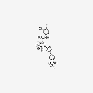 CN1[C@@H](C(O)Nc2ccc(F)c(Cl)c2)C[C@@H](c2ncc(-c3ccc(NS(C)(=O)=O)cc3)s2)NS1(=O)=O